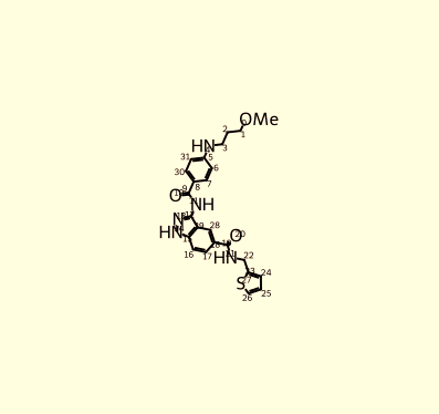 COCCCNc1ccc(C(=O)Nc2n[nH]c3ccc(C(=O)NCc4cccs4)cc23)cc1